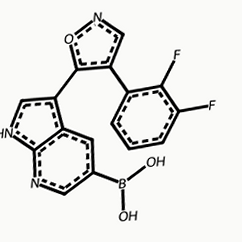 OB(O)c1cnc2[nH]cc(-c3oncc3-c3cccc(F)c3F)c2c1